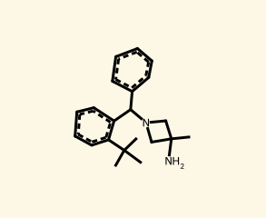 CC1(N)CN(C(c2ccccc2)c2ccccc2C(C)(C)C)C1